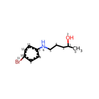 CC(O)CCCNc1ccc(Br)cc1